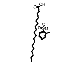 CCCCCCCCCCCCCCCCCC(=O)O.Cc1ccccc1S(=O)(=O)O